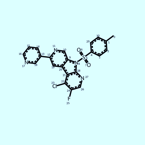 Cc1ccc(S(=O)(=O)n2c3cnc(-c4cccnc4)cc3c3c(Cl)c(F)cnc32)cc1